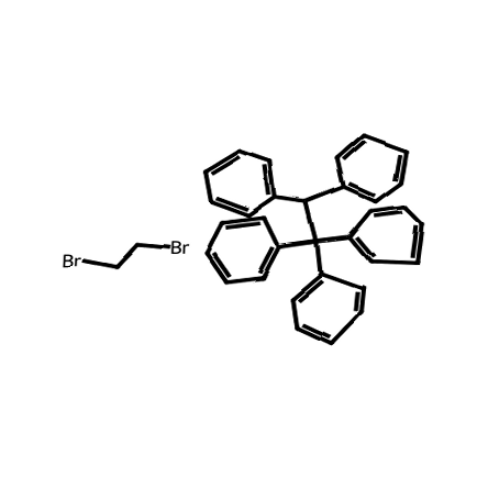 BrCCBr.c1ccc(C(c2ccccc2)C(c2ccccc2)(c2ccccc2)c2ccccc2)cc1